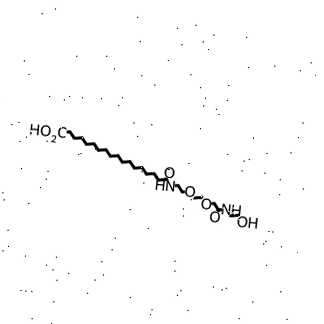 O=C(O)CCCCCCCCCCCCCCCCC(=O)NCCOCCOCC(=O)NCCO